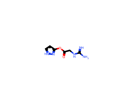 N=C(N)NCC(=O)Oc1cc[nH]n1